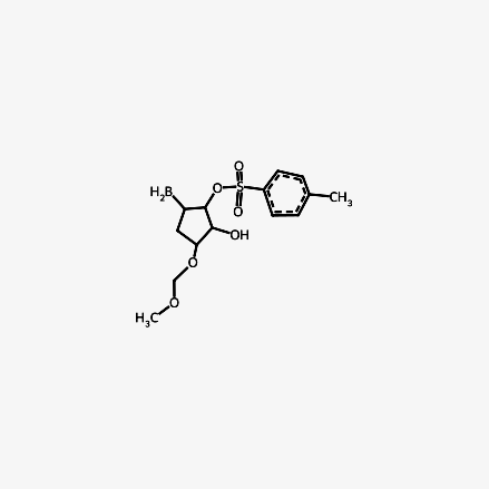 BC1CC(OCOC)C(O)C1OS(=O)(=O)c1ccc(C)cc1